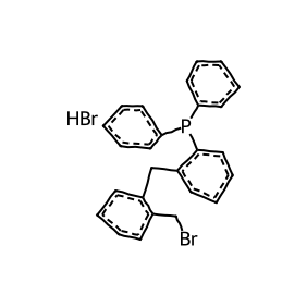 Br.BrCc1ccccc1Cc1ccccc1P(c1ccccc1)c1ccccc1